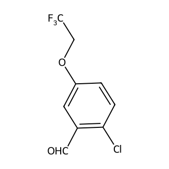 O=Cc1cc(OCC(F)(F)F)ccc1Cl